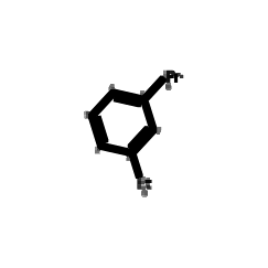 CCc1cccc([C](C)C)c1